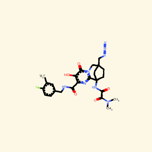 Cc1cc(CNC(=O)c2nc3n(c(=O)c2O)CC2(CN=[N+]=[N-])CCC3(NC(=O)C(=O)N(C)C)CC2)ccc1F